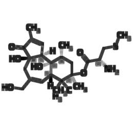 CSC[C@H](N)C(=O)O[C@]1(C)C[C@@H](C)[C@@]2(O)[C@@H](C=C(CO)C[C@]3(O)C(=O)C(C)=C[C@@H]23)C1(C)C